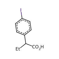 CCC(C(=O)O)c1ccc(I)cc1